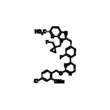 COc1cc(Cl)ccc1COc1nccc(-c2ccc(Cc3nc4ccc(C(=O)O)nc4n3CC3(CF)CC3)cc2F)n1